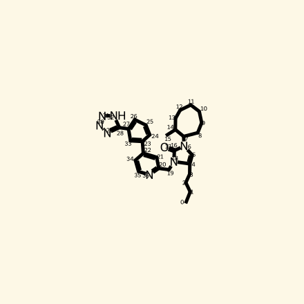 CCCCc1cn(C2CCCCCCC2C)c(=O)n1Cc1cc(-c2cccc(-c3nnn[nH]3)c2)ccn1